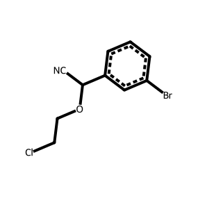 N#CC(OCCCl)c1cccc(Br)c1